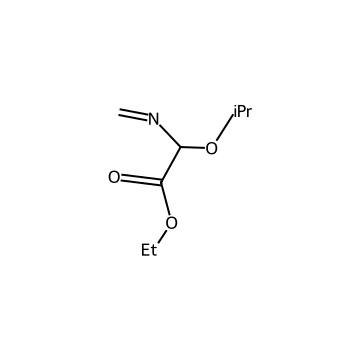 C=NC(OC(C)C)C(=O)OCC